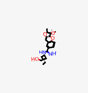 CC[C@]1(CO)C[C@H](NC(=N)c2ccc3c(c2)CC[C@H]([C@](C)(OC)C(C)=O)O3)C1